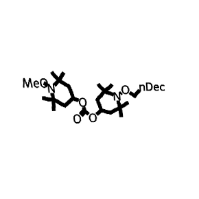 CCCCCCCCCCCON1C(C)(C)CC(OC(=O)OC2CC(C)(C)N(OC)C(C)(C)C2)CC1(C)C